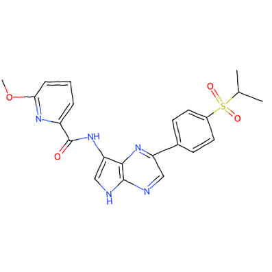 COc1cccc(C(=O)Nc2c[nH]c3ncc(-c4ccc(S(=O)(=O)C(C)C)cc4)nc23)n1